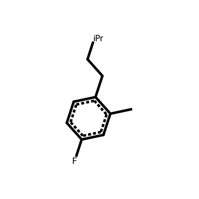 Cc1cc(F)ccc1CCC(C)C